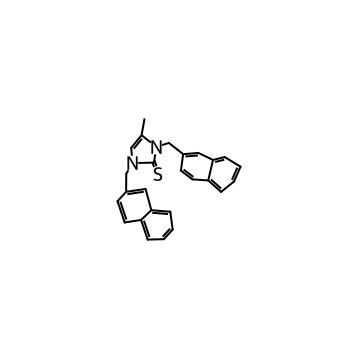 Cc1cn(Cc2ccc3ccccc3c2)c(=S)n1Cc1ccc2ccccc2c1